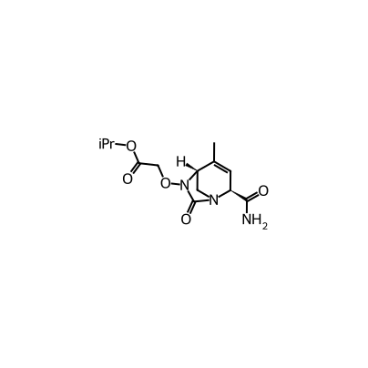 CC1=C[C@@H](C(N)=O)N2C[C@@H]1N(OCC(=O)OC(C)C)C2=O